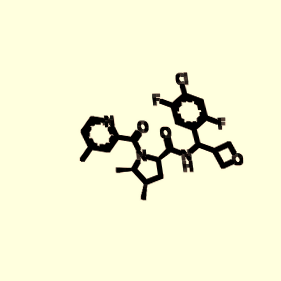 Cc1ccnc(C(=O)N2[C@@H](C(=O)NC(c3cc(F)c(Cl)cc3F)C3COC3)C[C@@H](C)[C@H]2C)c1